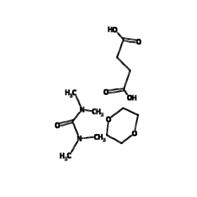 C1COCCO1.CN(C)C(=O)N(C)C.O=C(O)CCC(=O)O